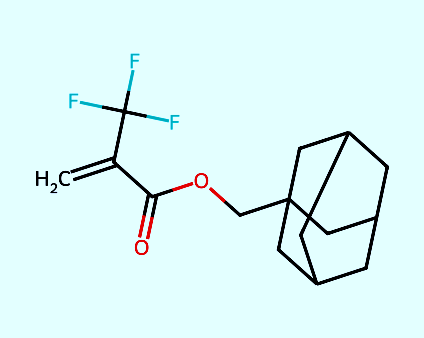 C=C(C(=O)OCC12CC3CC(CC(C3)C1)C2)C(F)(F)F